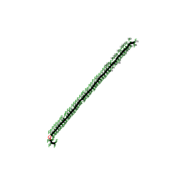 FC(F)=C(F)C(F)(F)OC(F)(F)C(F)(F)C(F)(F)C(F)(F)C(F)(F)C(F)(F)C(F)(F)C(F)(F)C(F)(F)C(F)(F)C(F)(F)C(F)(F)C(F)(F)C(F)(F)C(F)(F)C(F)(F)C(F)(F)C(F)(F)C(F)(F)C(F)(F)C(F)(F)C(F)(F)C(F)(F)C(F)(F)C(F)(F)C(F)(F)C(F)(F)C(F)(F)C(F)(F)C(F)(F)C(F)(F)C(F)(F)C(F)(F)C(F)(F)C(F)(F)C(F)(F)C(F)(F)C(F)(F)C(F)(F)C(F)(F)C(F)(F)C(F)=C(F)F